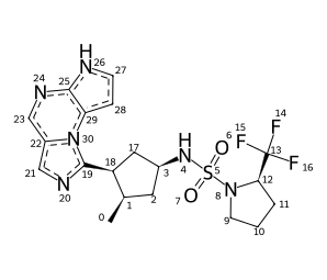 C[C@@H]1C[C@H](NS(=O)(=O)N2CCC[C@@H]2C(F)(F)F)C[C@@H]1c1ncc2cnc3[nH]ccc3n12